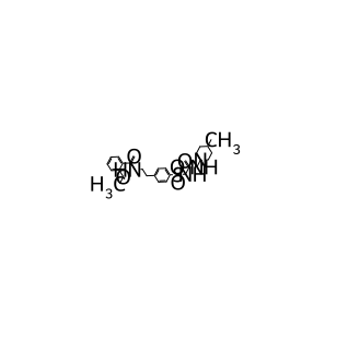 COc1ccccc1C(=O)NCCc1ccc(S(=O)(=O)NC(=O)NN2CCC(C)CC2)cc1